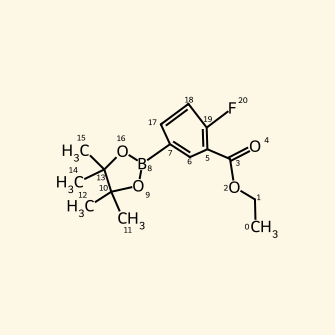 CCOC(=O)c1cc(B2OC(C)(C)C(C)(C)O2)ccc1F